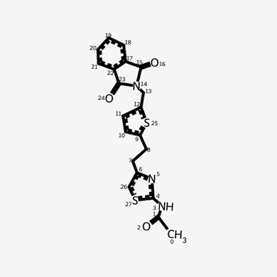 CC(=O)Nc1nc(CCc2ccc(CN3C(=O)c4ccccc4C3=O)s2)cs1